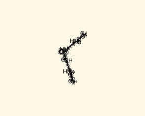 C=C(C)C(=O)OCCOC(=O)NCCCCCCCNC(=O)N1CCCCCC1CCOC(=O)NCCCCCCNC(=O)OCCOC(=O)C(=C)C